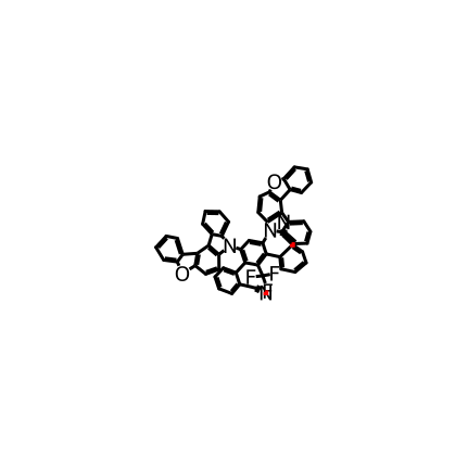 N#Cc1ccccc1-c1c(-n2c3ccccc3c3c4c(ccc32)oc2ccccc24)cc(-n2c3ccccc3c3c4c(ccc32)oc2ccccc24)c(-c2ccccc2C#N)c1C(F)(F)F